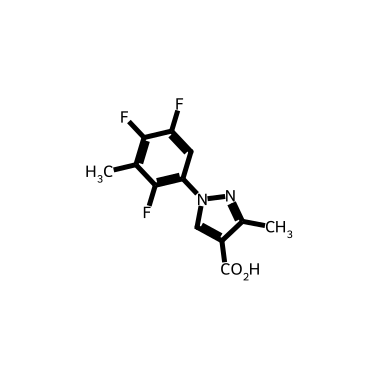 Cc1nn(-c2cc(F)c(F)c(C)c2F)cc1C(=O)O